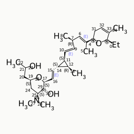 CC[C@H]1O[C@@H](/C(C)=C/[C@H](C)/C=C/[C@H]2[C@@H](C)[C@@H]2/C=C/[C@@H]2O[C@H](CC(C)O)C[C@H](N(C)C)[C@H]2O)CC=C1C